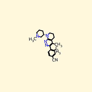 Cc1cc(C#N)ccc1-c1nnc2c(c1C)CCCN2[C@H]1CCCN(C)C1